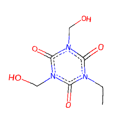 CCn1c(=O)n(CO)c(=O)n(CO)c1=O